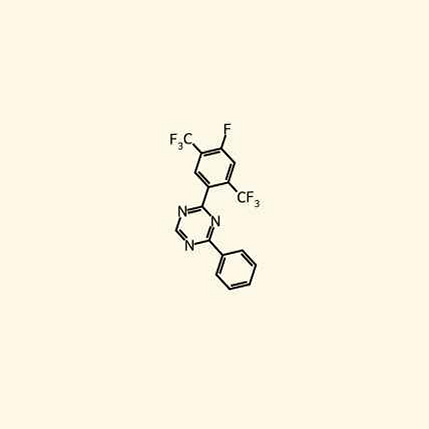 Fc1cc(C(F)(F)F)c(-c2ncnc(-c3ccccc3)n2)cc1C(F)(F)F